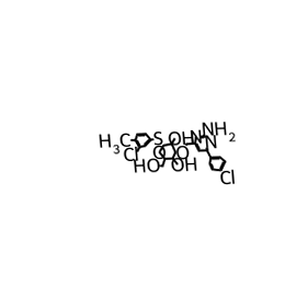 Cc1ccc(SC2OC(CO)C(O)C(OCc3cc(-c4ccc(Cl)cc4)nc(N)n3)C2O)cc1Cl